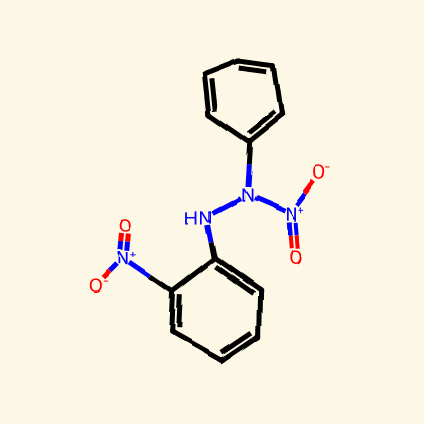 O=[N+]([O-])c1ccccc1NN(c1ccccc1)[N+](=O)[O-]